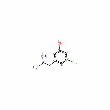 CC(N)Cc1cc(O)cc(F)c1